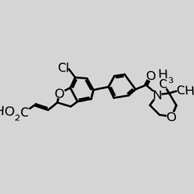 CC1(C)COCCN1C(=O)c1ccc(-c2cc(Cl)c3c(c2)CC(/C=C/C(=O)O)O3)cc1